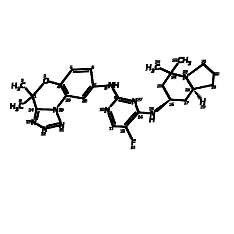 CC1(C)Oc2ccc(Nc3ncc(F)c(N[C@@H]4C[C@@H]5CCCN5C(C)(C)C4)n3)cc2-n2nnnc21